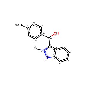 CCn1nc2ccccc2c1C(O)c1ccc(OC)cc1